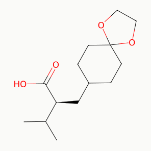 CC(C)[C@H](CC1CCC2(CC1)OCCO2)C(=O)O